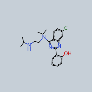 CC(C)NCCN(c1nc(-c2ccccc2O)nc2cc(Cl)ccc12)C(C)C